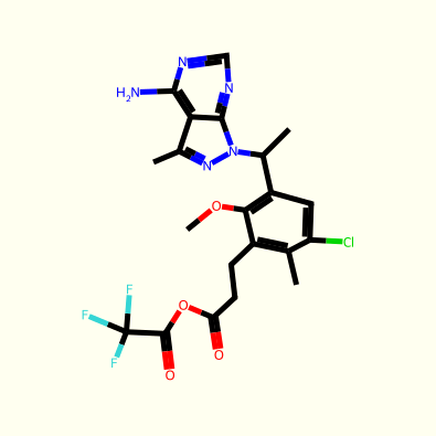 COc1c(C(C)n2nc(C)c3c(N)ncnc32)cc(Cl)c(C)c1CCC(=O)OC(=O)C(F)(F)F